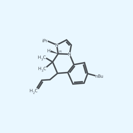 C=CCC1c2ccc(CCCC)cc2N2C=CN(C(C)C)[C@H]2C1(C)C